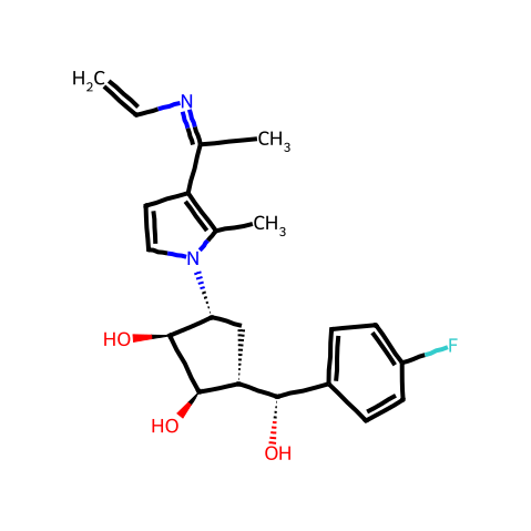 C=C/N=C(/C)c1ccn([C@@H]2C[C@H]([C@@H](O)c3ccc(F)cc3)[C@@H](O)[C@H]2O)c1C